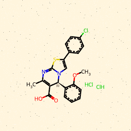 COc1ccccc1[C@H]1C(C(=O)O)=C(C)N=C2SC(c3ccc(Cl)cc3)=CN21.Cl.Cl